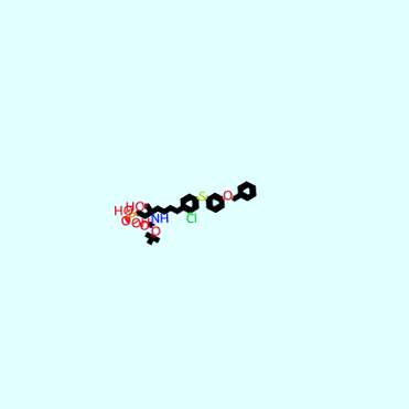 CC(C)(C)OC(=O)NC(CO)(CCCCc1ccc(Sc2cccc(OCc3ccccc3)c2)cc1Cl)CCP(=O)(O)O